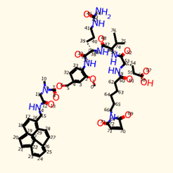 COc1cc(COC(=O)N(C)CC(=O)NCc2ccc3ccc4cccc5ccc2c3c45)ccc1NC(=O)[C@H](CCCNC(N)=O)NC(=O)[C@@H](NC(=O)[C@H](CCC(=O)O)NC(=O)CCCCCN1C(=O)C=CC1=O)C(C)C